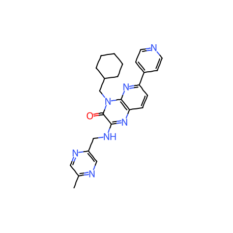 Cc1cnc(CNc2nc3ccc(-c4ccncc4)nc3n(CC3CCCCC3)c2=O)cn1